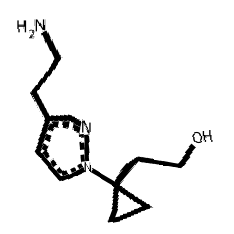 NCCc1ccn(C2(CCO)CC2)n1